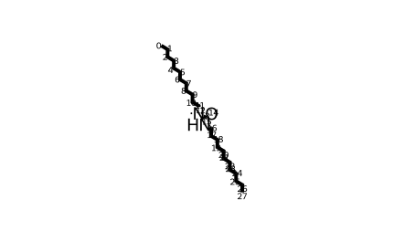 CCCCCCCCCCCC[N]C(=O)NCCCCCCCCCCCC